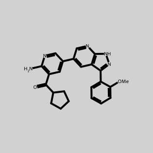 COc1ccccc1-c1n[nH]c2ncc(-c3cnc(N)c(C(=O)C4CCCC4)c3)cc12